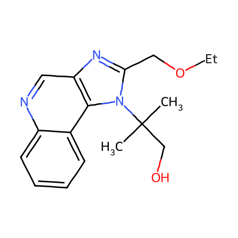 CCOCc1nc2cnc3ccccc3c2n1C(C)(C)CO